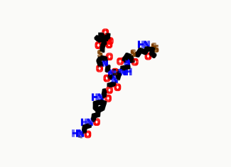 CNC(=O)CCNC(=O)CCc1ccc(NC(=O)COCC(=O)N(CC(=O)NCCN2C(=O)CC(SCCCC(=N)C3(C(C)=O)SS3)C2=O)C(=O)NCCN2C(=O)CC(SCCC(=O)C(C(C)=O)(C(C)=O)C(C)=O)C2=O)cc1